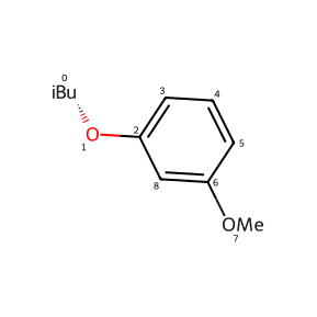 CC[C@@H](C)Oc1cccc(OC)c1